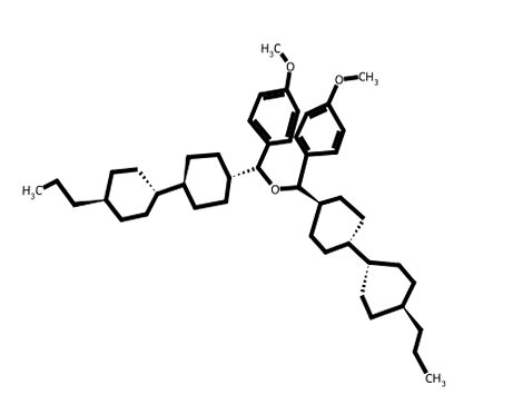 CCC[C@H]1CC[C@H]([C@H]2CC[C@H](C(OC(c3ccc(OC)cc3)[C@H]3CC[C@H]([C@H]4CC[C@H](CCC)CC4)CC3)c3ccc(OC)cc3)CC2)CC1